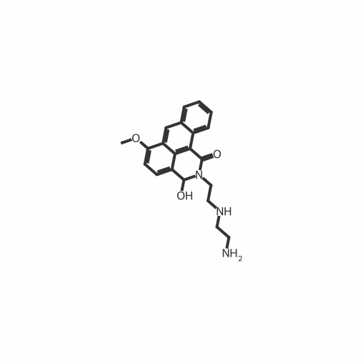 COc1ccc2c3c(c4ccccc4cc13)C(=O)N(CCNCCN)C2O